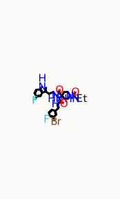 CCNC(=O)N1CCC(NC(=O)C=Cc2ccc(F)c(Br)c2)(C(=O)NCCc2c[nH]c3ccc(F)cc23)CC1